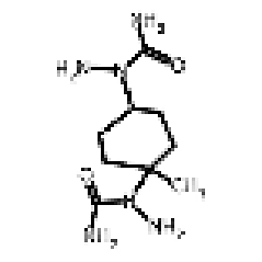 CC1(N(N)C(N)=O)CCC(N(N)C(N)=O)CC1